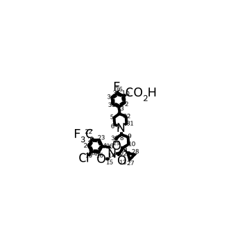 O=C(O)c1cc(C2CCN(C3CC[C@@](C(=O)N4COc5c(Cl)cc(C(F)(F)F)cc5C4)(C4CC4)OC3)CC2)ccc1F